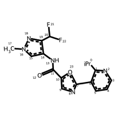 CC(C)c1ncccc1-c1ncc(C(=O)Nc2cn(C)nc2C(F)F)o1